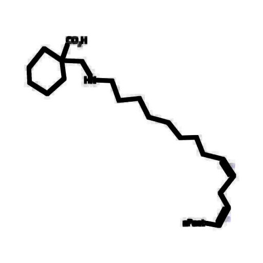 CCCCC/C=C\C/C=C\CCCCCCCCNCC1(C(=O)O)CCCCC1